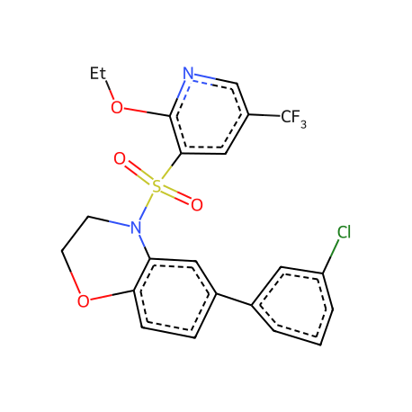 CCOc1ncc(C(F)(F)F)cc1S(=O)(=O)N1CCOc2ccc(-c3cccc(Cl)c3)cc21